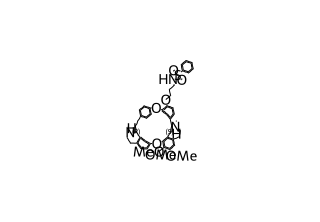 COc1cc2c3cc1Oc1c(OC)c(OC)cc4c1[C@H](Cc1ccc(OCCCNS(=O)(=O)c5ccccc5)c(c1)Oc1ccc(cc1)C[C@H]3N(C)CC2)N(C)CC4